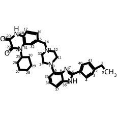 CCc1ccc(-c2nc3c(N4CCN(Cc5ccc6[nH]c(=O)c(=O)n(C7CCCCC7)c6c5)CC4)cccc3[nH]2)cc1